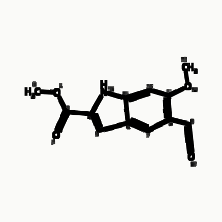 COC(=O)c1cc2cc(C=O)c(OC)cc2[nH]1